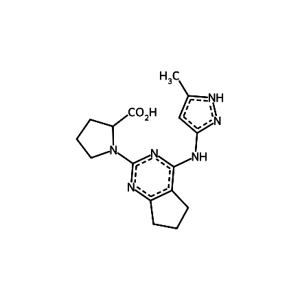 Cc1cc(Nc2nc(N3CCCC3C(=O)O)nc3c2CCC3)n[nH]1